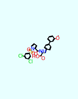 COc1cccc(-c2ccc(C[C@H](NC(=O)c3cccn3S(=O)(=O)c3cc(Cl)cc(Cl)c3)C(=O)O)cc2)c1